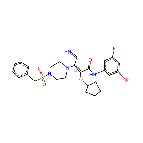 N=C/C(=C(/OC1CCCC1)C(=O)Nc1cc(O)cc(F)c1)N1CCN(S(=O)(=O)Cc2ccccc2)CC1